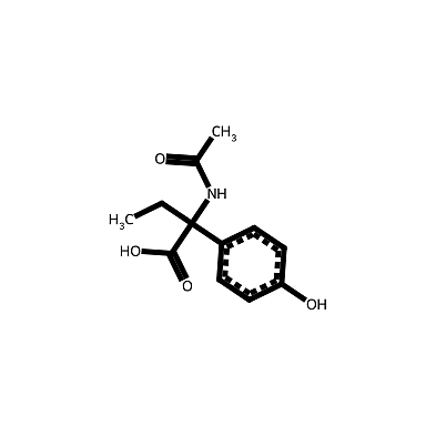 CCC(NC(C)=O)(C(=O)O)c1ccc(O)cc1